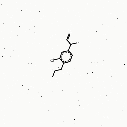 [CH2]C(C=C)c1ccc(CCC)c(Cl)c1